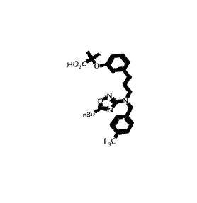 CCCCc1nc(N(CCCc2cccc(OC(C)(C)C(=O)O)c2)Cc2ccc(C(F)(F)F)cc2)no1